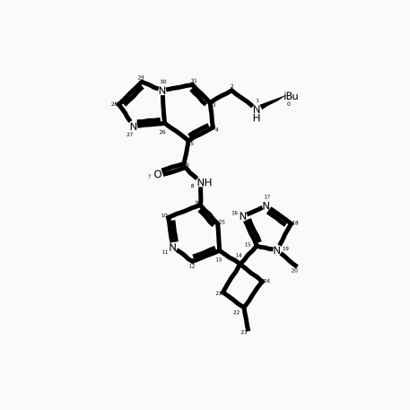 CC[C@H](C)NCc1cc(C(=O)Nc2cncc(C3(c4nncn4C)CC(C)C3)c2)c2nccn2c1